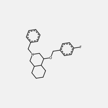 Fc1ccc(COC2CN(Cc3ccccc3)CC3CCCCC32)cc1